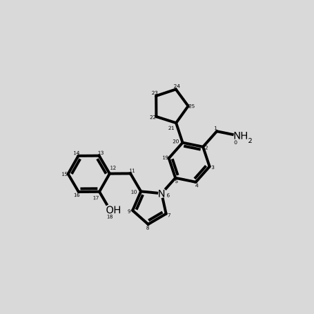 NCc1ccc(-n2cccc2Cc2ccccc2O)cc1C1CCCC1